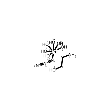 NCCO.[N-]=[N+]=[N][Pt-3]([OH])([OH])([OH])([OH])([OH])[OH]